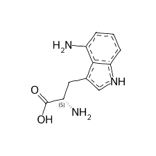 Nc1cccc2[nH]cc(C[C@H](N)C(=O)O)c12